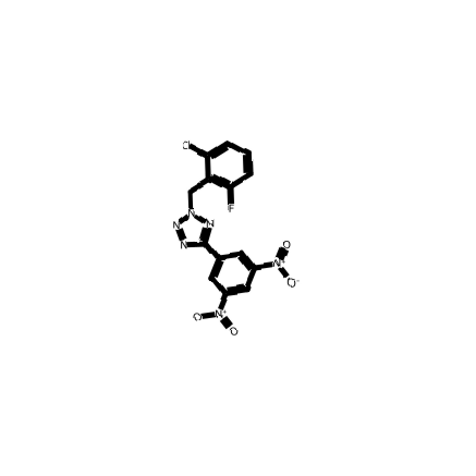 O=[N+]([O-])c1cc(-c2nnn(Cc3c(F)cccc3Cl)n2)cc([N+](=O)[O-])c1